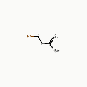 C=C(CCS)NC